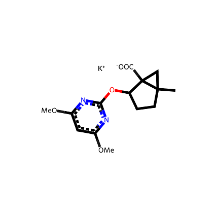 COc1cc(OC)nc(OC2CCC3(C)CC23C(=O)[O-])n1.[K+]